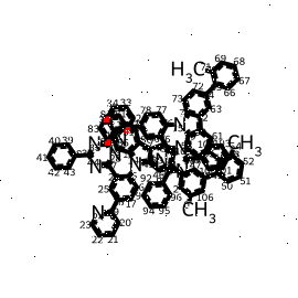 Cc1cc(-c2ccc3c4ccccc4n(-c4ccc(-c5ccccn5)cc4-c4nc(-c5ccccc5)nc(-c5ccccc5)n4)c3c2)cc(-c2cccc(C)c2-c2ccc3c(c2)c2cc(-c4ccccc4C)ccc2n3-c2ccc(-c3ccccn3)cc2-c2nc(-c3ccccc3)nc(-c3ccccc3)n2)c1